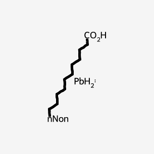 CCCCCCCCCCCCCCCCCCCC(=O)O.[PbH2]